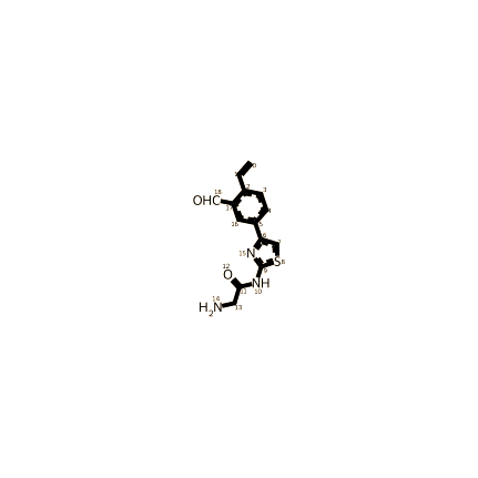 C=Cc1ccc(-c2csc(NC(=O)CN)n2)cc1C=O